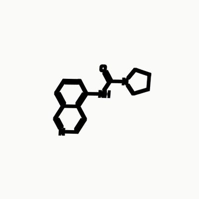 O=C(Nc1cccc2cnccc12)N1CCCC1